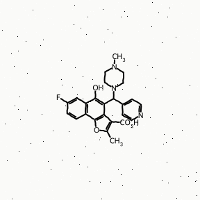 Cc1oc2c(c1C(=O)O)c(C(c1ccncc1)N1CCN(C)CC1)c(O)c1cc(F)ccc12